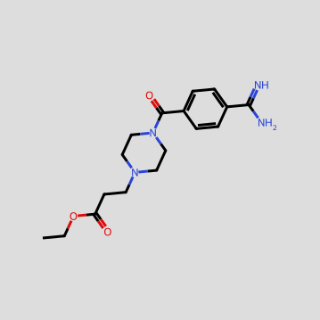 CCOC(=O)CCN1CCN(C(=O)c2ccc(C(=N)N)cc2)CC1